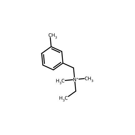 CC[N+](C)(C)Cc1cccc(C)c1